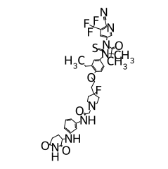 CCc1cc(N2C(=S)N(c3cnc(C#N)c(C(F)(F)F)c3)C(=O)C2(C)C)ccc1OCCC1(F)CCN(CC(=O)Nc2cccc(NC3CCC(=O)NC3=O)c2)CC1